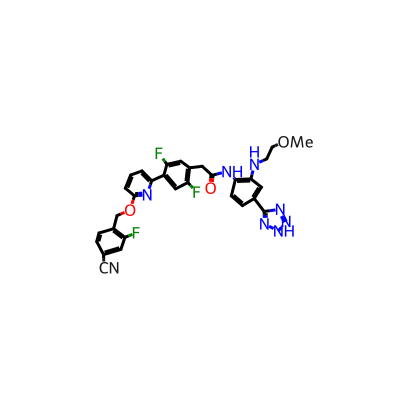 COCCNc1cc(-c2nn[nH]n2)ccc1NC(=O)Cc1cc(F)c(-c2cccc(OCc3ccc(C#N)cc3F)n2)cc1F